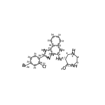 O=C1NCCNC[C@H]1Nc1nc2ccccc2c2nc(-c3ccc(Br)cc3Cl)nn12